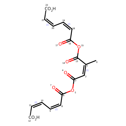 C/C(=C/C(=O)OC(=O)/C=C\C=C/C(=O)O)C(=O)OC(=O)/C=C\C=C/C(=O)O